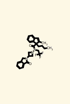 CCCCC1(C(=O)N(CC(F)(F)F)N2CC(N3Cc4ccccc4C3=O)C2)C(C)=Cc2ccccc21